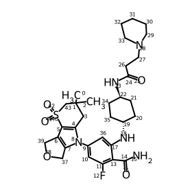 CC1(C)Cc2c(c3c(n2-c2cc(F)c(C(N)=O)c(N[C@H]4CC[C@H](NC(=O)CCN5CCCCC5)CC4)c2)COC3)S(=O)(=O)C1